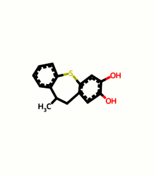 CC1Cc2cc(O)c(O)cc2Sc2ccccc21